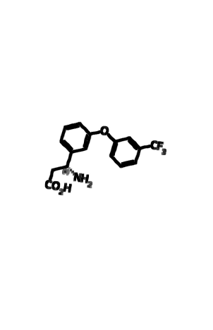 N[C@H](CC(=O)O)c1cccc(Oc2cccc(C(F)(F)F)c2)c1